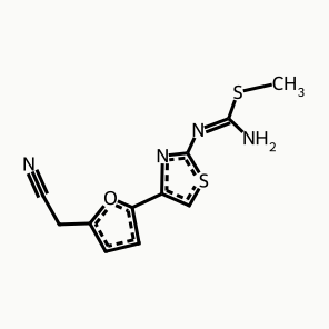 CS/C(N)=N/c1nc(-c2ccc(CC#N)o2)cs1